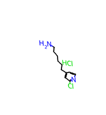 Cl.NCCCCCCc1ccnc(Cl)c1